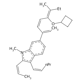 C/C=C\c1c(/C=C\CCC)c2ccc(C(/C=C\C(OC3CCC3)=C(/C)CC)=C/C)cc2n1C